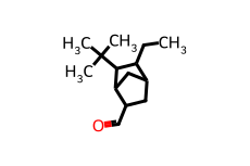 CCC1C2CC(C=O)C(C2)C1C(C)(C)C